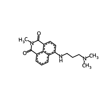 CN(C)CCCNc1ccc2c3c(cccc13)C(=O)N(C)C2=O